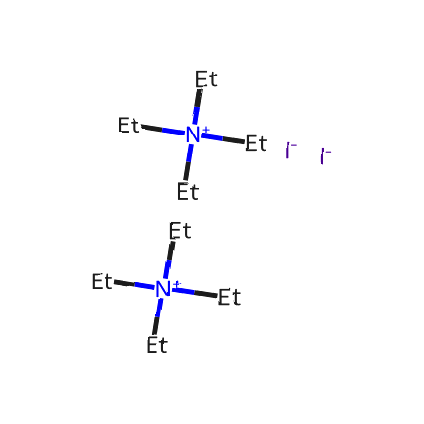 CC[N+](CC)(CC)CC.CC[N+](CC)(CC)CC.[I-].[I-]